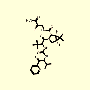 CC(C)[C@H](NC(=O)N[C@H](C(=O)N1C[C@H]2[C@@H]([C@H]1C(=O)NCC(=O)C(N)=O)C2(C)C)C(C)(C)C)C(=O)c1ccccn1